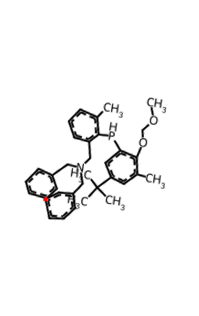 COCOc1c(C)cc(C(C)(C)C)cc1Pc1c(C)cccc1CN(Cc1ccccc1)Cc1ccccc1